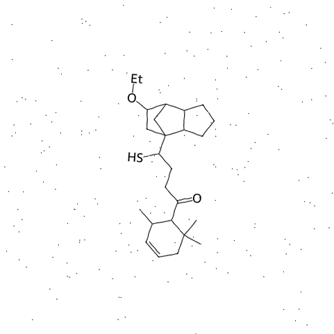 CCOC1CC2(C(S)CCC(=O)C3C(C)C=CCC3(C)C)CC1C1CCCC12